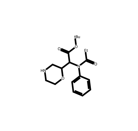 CCC(=O)N(c1ccccc1)C(C(=O)OC(C)(C)C)C1CNCCO1